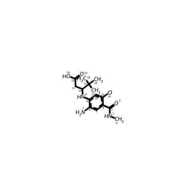 CNC(=O)c1cc(N)c(NC(CC(=O)O)C(C)(C)C)cc1Cl